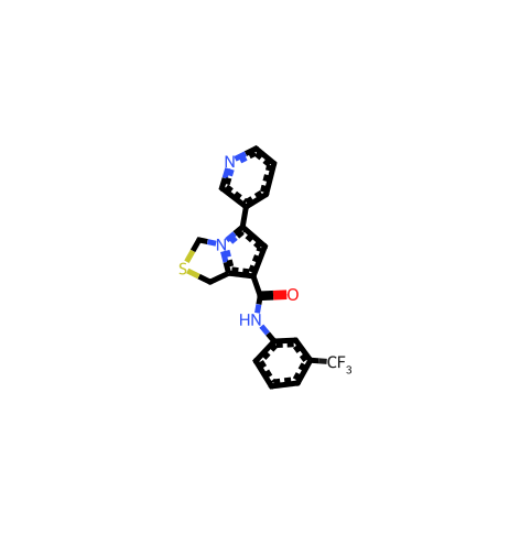 O=C(Nc1cccc(C(F)(F)F)c1)c1cc(-c2cccnc2)n2c1CSC2